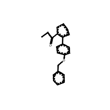 CCC(=O)c1ccccc1-c1ccc(OCc2ccccc2)cc1